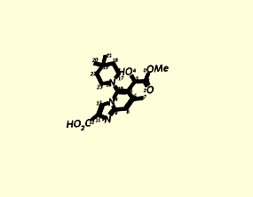 COC(=O)C(O)c1c(C)cc2nc(C(=O)O)cn2c1N1CCC(C)(C)CC1